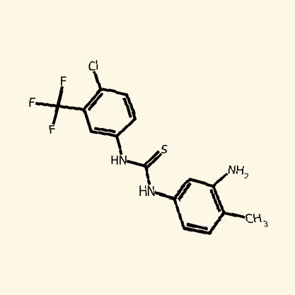 Cc1ccc(NC(=S)Nc2ccc(Cl)c(C(F)(F)F)c2)cc1N